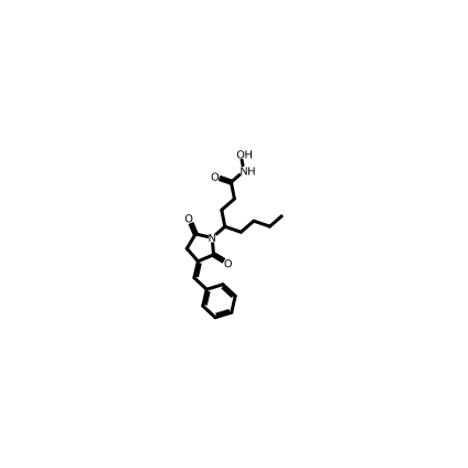 CCCCC(CCC(=O)NO)N1C(=O)CC(=Cc2ccccc2)C1=O